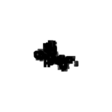 CCn1ncc2c(NC3CCOCC3)c(C(=O)NCc3cccc(C(F)(F)F)c3F)cnc21